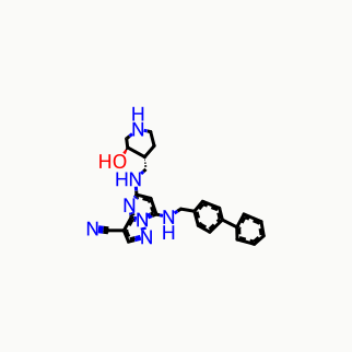 N#Cc1cnn2c(NCc3ccc(-c4ccccc4)cc3)cc(NC[C@H]3CCNC[C@@H]3O)nc12